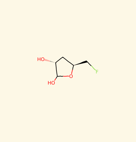 OC1O[C@H](CF)C[C@H]1O